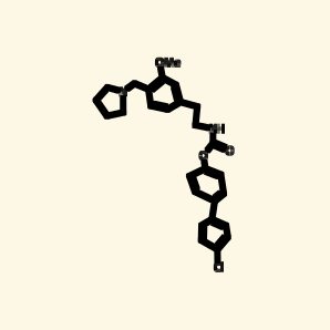 COc1cc(CCNC(=O)Oc2ccc(-c3ccc(Cl)cc3)cc2)ccc1CN1CCCC1